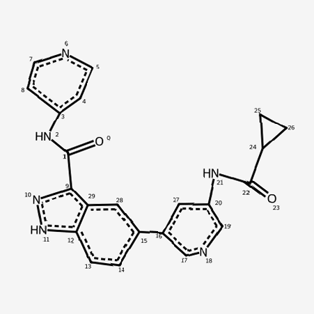 O=C(Nc1ccncc1)c1n[nH]c2ccc(-c3cncc(NC(=O)C4CC4)c3)cc12